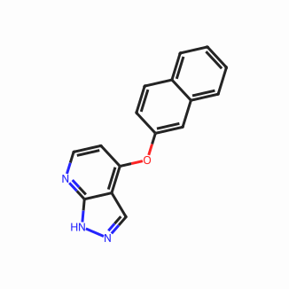 c1ccc2cc(Oc3ccnc4[nH]ncc34)ccc2c1